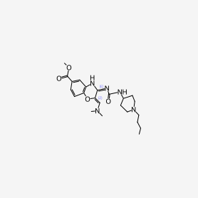 CCCCN1CCC(NC(=O)/N=C2/Nc3cc(C(=O)OC)ccc3O/C2=C\N(C)C)CC1